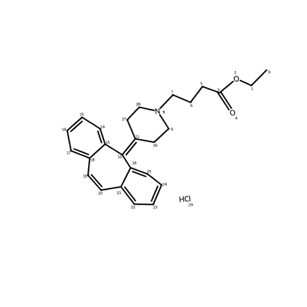 CCOC(=O)CCCN1CCC(=C2c3ccccc3C=Cc3ccccc32)CC1.Cl